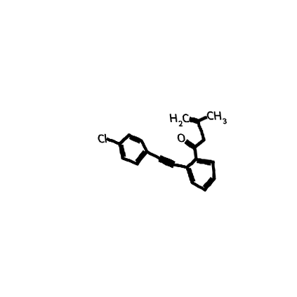 C=C(C)CC(=O)c1ccccc1C#Cc1ccc(Cl)cc1